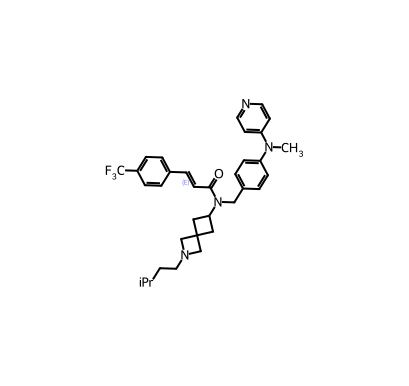 CC(C)CCN1CC2(CC(N(Cc3ccc(N(C)c4ccncc4)cc3)C(=O)/C=C/c3ccc(C(F)(F)F)cc3)C2)C1